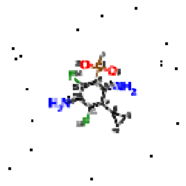 CS(=O)(=O)c1c(N)c(C2CC2)c(F)c(N)c1F